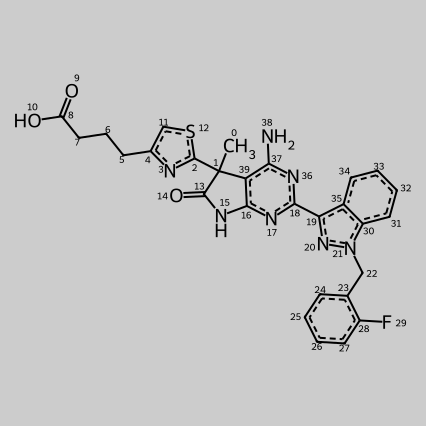 CC1(c2nc(CCCC(=O)O)cs2)C(=O)Nc2nc(-c3nn(Cc4ccccc4F)c4ccccc34)nc(N)c21